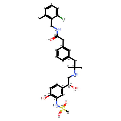 Cc1cccc(Cl)c1CNC(=O)Cc1cccc(CC(C)(C)NC[C@@H](O)c2ccc(O)c(NS(C)(=O)=O)c2)c1